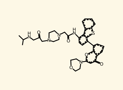 CC(C)NCC(=O)CN1CCN(CC(=O)Nc2ccc(-c3cccc4c(=O)cc(N5CCOCC5)oc34)c3sc4ccccc4c23)CC1